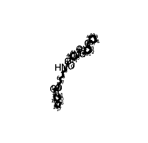 O=C(NCCCCCCOC(=O)N1CCC2(CCCC2)CC1)OC1CCN(C(=O)Oc2cccc(Oc3ccccc3)c2)CC1